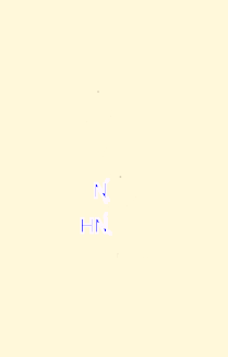 C(=C\c1ccc2c(n1)[nH]c1ccccc12)/c1ccccc1